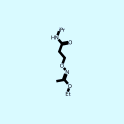 CCO/C(C)=N/OCCC(=O)NC(C)C